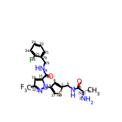 C[C@H](N)C(=O)NCc1cc(-n2nc(C(F)(F)F)cc2C(=O)NCc2ccccc2F)cs1